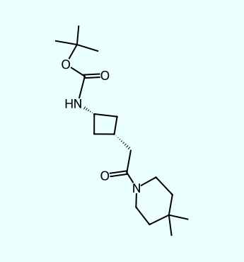 CC1(C)CCN(C(=O)C[C@H]2C[C@@H](NC(=O)OC(C)(C)C)C2)CC1